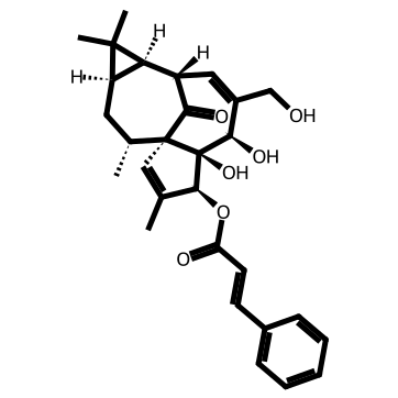 CC1=C[C@]23C(=O)[C@@H](C=C(CO)[C@@H](O)[C@]2(O)[C@H]1OC(=O)/C=C/c1ccccc1)[C@H]1[C@@H](C[C@H]3C)C1(C)C